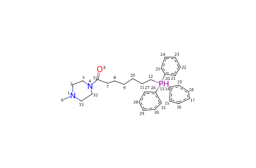 CN1CCN(C(=O)CCCCCC[PH](c2ccccc2)(c2ccccc2)c2ccccc2)CC1